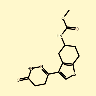 COC(=O)NC1CCc2scc(C3=NNC(=O)CC3)c2C1